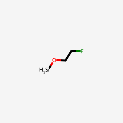 FCCO[SiH3]